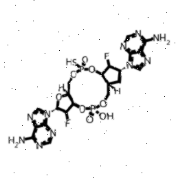 Nc1ncnc2c1ncn2[C@@H]1C[C@@H]2COP(=O)(O)OC3C(F)[C@H](n4cnc5c(N)ncnc54)O[C@@H]3COP(=O)(S)OC2C1F